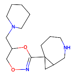 C1CCN(CC2CON=C(C34CCCNCC3C4)O2)CC1